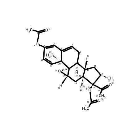 CC(=O)OC1=CC2=CC[C@H]3[C@@H]4C[C@H](C)[C@](OC(C)=O)(C(C)=O)[C@@]4(C)C[C@@H]4O[C@@]43[C@@]2(C)C=C1